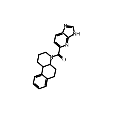 O=C(c1ccc2nc[nH]c2n1)N1CCCC2c3ccccc3CCC21